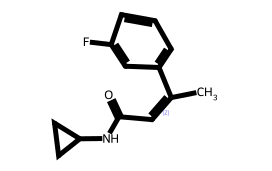 C/C(=C/C(=O)NC1CC1)c1cccc(F)c1